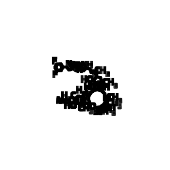 CC[C@H]1OC(=O)[C@H](C)[C@@H](O[C@H]2C[C@@](C)(OC)[C@@H](O)[C@H](C)O2)[C@H](C)[C@@H](O[C@@H]2O[C@H](C)C[C@H](N(C)CCC3=CN(C[C@H]4CC(c5cc(F)cc(F)c5)=NO4)NN3)[C@H]2O)[C@](C)(O)CCN(C)[C@H](C)[C@@H](O)[C@]1(C)O